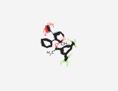 C[C@@H](O[C@@]1(C)OCC[C@@H](C(=O)O)[C@@H]1c1ccccc1)c1cc(C(F)(F)F)cc(C(F)(F)F)c1